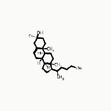 CC[C@]1(O)CC[C@@]2(C)C(=CC[C@H]3[C@@H]4CC[C@H]([C@H](C)CCCC(C)(C)C)[C@@]4(C)CC[C@@H]32)C1